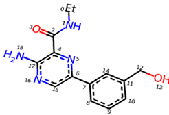 CCNC(=O)c1nc(-c2cccc(CO)c2)cnc1N